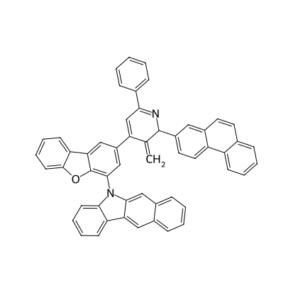 C=C1C(c2cc(-n3c4ccccc4c4cc5ccccc5cc43)c3oc4ccccc4c3c2)=CC(c2ccccc2)=NC1c1ccc2c(ccc3ccccc32)c1